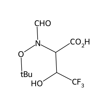 CC(C)(C)ON(C=O)C(C(=O)O)C(O)C(F)(F)F